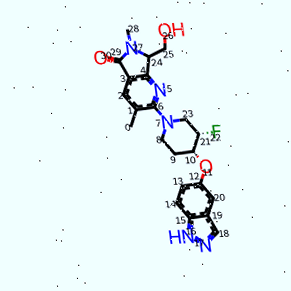 Cc1cc2c(nc1N1CC[C@@H](Oc3ccc4[nH]ncc4c3)[C@@H](F)C1)C(CO)N(C)C2=O